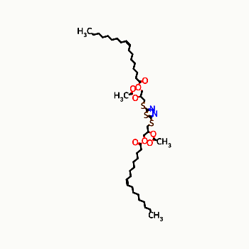 CCCCCCCC/C=C\CCCCCCCC(=O)OCC(CSc1nnc(SCC(COC(=O)CCCCCCC/C=C\CCCCCCCC)OC(C)=O)s1)OC(C)=O